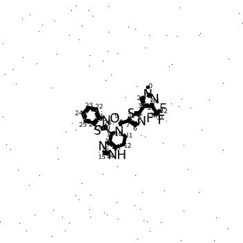 Cn1cc(-c2ncc(C(=O)N3CCc4[nH]cnc4[C@H]3c3nc4ccccc4s3)s2)c(C(F)(F)F)n1